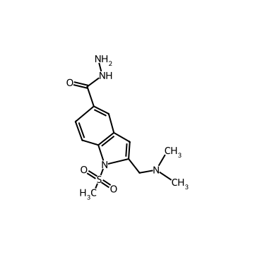 CN(C)Cc1cc2cc(C(=O)NN)ccc2n1S(C)(=O)=O